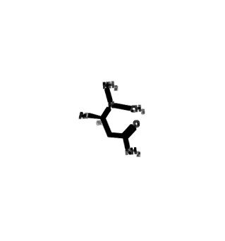 CC(=O)[C@H](CC(N)=O)N(C)N